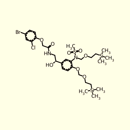 C[Si](C)(C)CCOCOc1ccc([C@@H](O)CNC(=O)COc2ccc(Br)cc2Cl)cc1N(COCC[Si](C)(C)C)S(C)(=O)=O